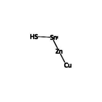 [SH][Sn][Zn][Cu]